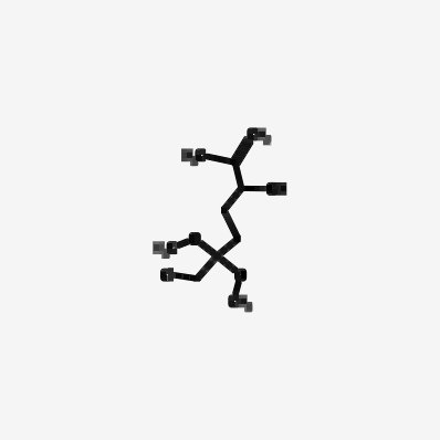 C=C(C)C(O)CCC(CCl)(OC)OC